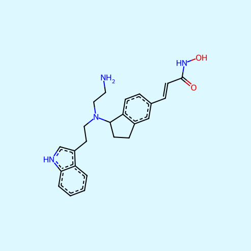 NCCN(CCc1c[nH]c2ccccc12)C1CCc2cc(/C=C/C(=O)NO)ccc21